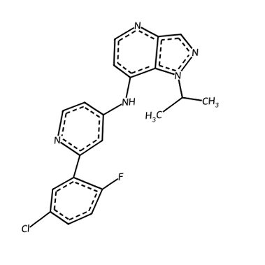 CC(C)n1ncc2nccc(Nc3ccnc(-c4cc(Cl)ccc4F)c3)c21